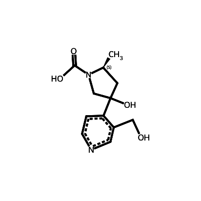 C[C@H]1CC(O)(c2ccncc2CO)CN1C(=O)O